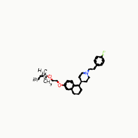 CC(C)C[Si](C)(C)OCCOc1ccc2c(c1)CCCC2C1CCN(CCc2ccc(F)cc2)CC1